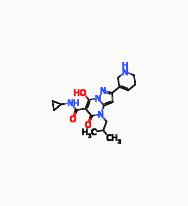 CC(C)Cn1c(=O)c(C(=O)NC2CC2)c(O)n2nc(C3=CCCNC3)cc12